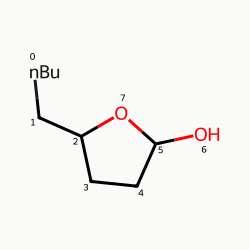 CCCCCC1CCC(O)O1